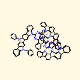 CC1=NC(n2c3ccccc3c3cc4c(cc32)c2cc3c(cc2n4-c2ccccc2)c2ccccc2n3-c2ccccc2)=NC(c2ccccc2-c2ccc(-n3c4c(ccc5c6ccccc6[nH]c54)c4ccc5c6ccccc6n(-c6nc(-c7ccccc7)nc(-n7c8c(c9ccccc97)C=CC7c9ccc%10c%11ccccc%11n(-c%11ccccc%11)c%10c9N(c9ccccc9)C87)n6)c5c43)cc2)N1